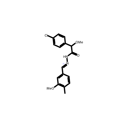 COc1cc(/C=N/NC(=O)C(OC)c2ccc(Cl)cc2)ccc1C